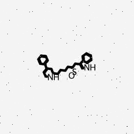 O=S=C(CCCCC1CC(c2ccccc2)=CCN1)Cc1c[nH]c2ccccc12